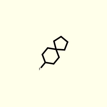 FC1CCC2(CCCC2)CC1